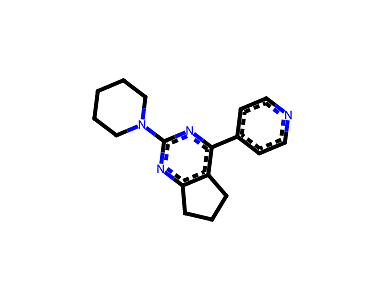 c1cc(-c2nc(N3CCCCC3)nc3c2CCC3)ccn1